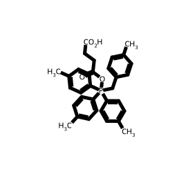 Cc1ccc(CP(OC(=O)CCC(=O)O)(c2ccc(C)cc2)(c2ccc(C)cc2)c2ccc(C)cc2)cc1